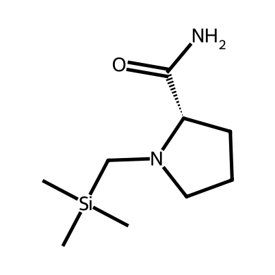 C[Si](C)(C)CN1CCC[C@H]1C(N)=O